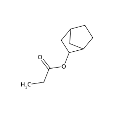 CCC(=O)OC1CC2CCC1C2